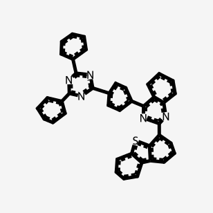 c1ccc(-c2nc(-c3ccccc3)nc(-c3ccc(-c4nc(-c5cccc6c5sc5ccccc56)nc5ccccc45)cc3)n2)cc1